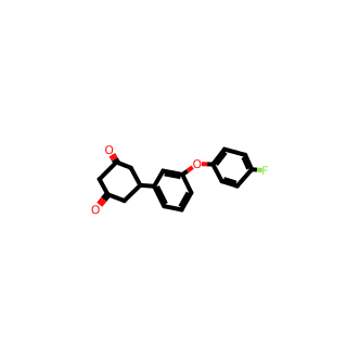 O=C1CC(=O)CC(c2cccc(Oc3ccc(F)cc3)c2)C1